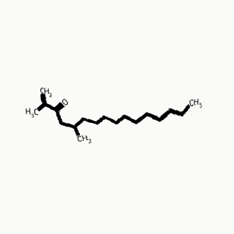 C=C(C)C(=O)CC(C)CCCCCCCCCCC